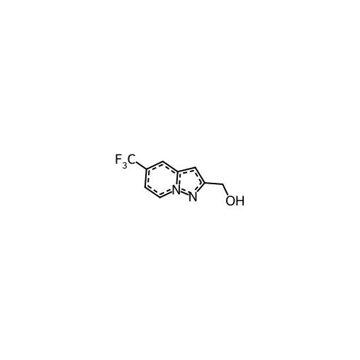 OCc1cc2cc(C(F)(F)F)ccn2n1